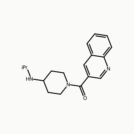 CC(C)NC1CCN(C(=O)c2cnc3ccccc3c2)CC1